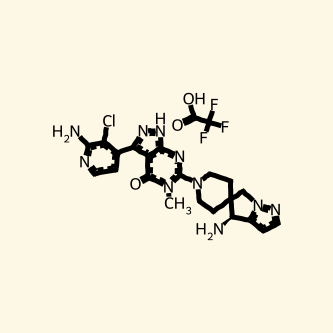 Cn1c(N2CCC3(CC2)Cn2nccc2[C@H]3N)nc2[nH]nc(-c3ccnc(N)c3Cl)c2c1=O.O=C(O)C(F)(F)F